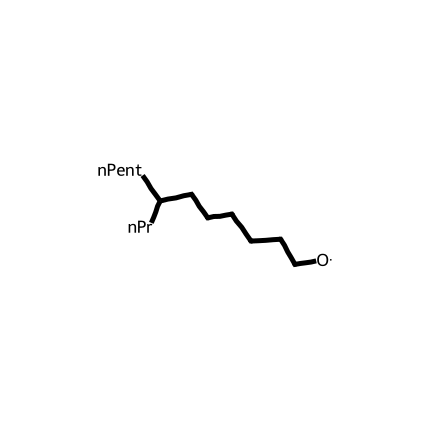 CCCCCC(CCC)CCCCCC[O]